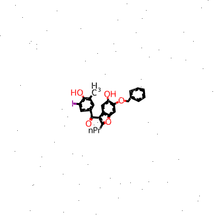 CCCc1oc2cc(OCc3ccccc3)c(O)cc2c1C(=O)c1cc(C)c(O)c(I)c1